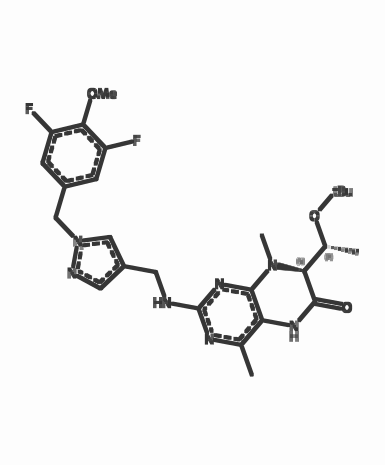 COc1c(F)cc(Cn2cc(CNc3nc(C)c4c(n3)N(C)[C@@H]([C@@H](C)OC(C)(C)C)C(=O)N4)cn2)cc1F